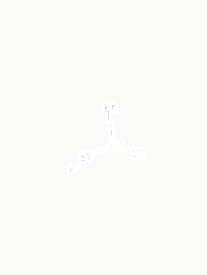 CC[O+](CC)CC.[F-]